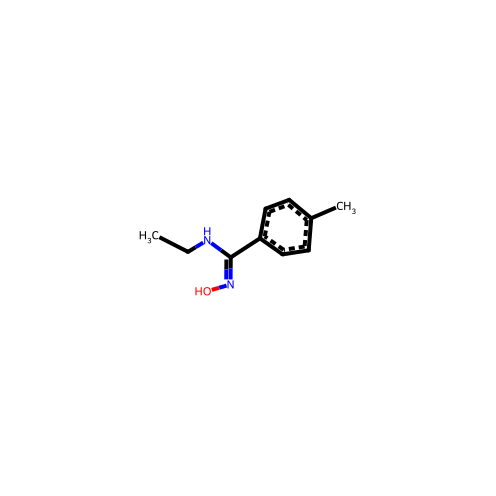 CCN/C(=N\O)c1ccc(C)cc1